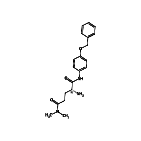 CN(C)C(=O)CC[C@@H](N)C(=O)Nc1ccc(OCc2ccccc2)cc1